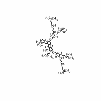 COc1c(OCC(=O)N[C@@H](CCCNC(=N)N)C(=O)NCCCNCCCN(C)C)cc2oc3cc(OCC(=O)N[C@@H](CCCNC(=N)N)C(O)NCCCNCCCN(C)C)c(CC=C(C)C)c(O)c3c(=O)c2c1CC=C(C)C